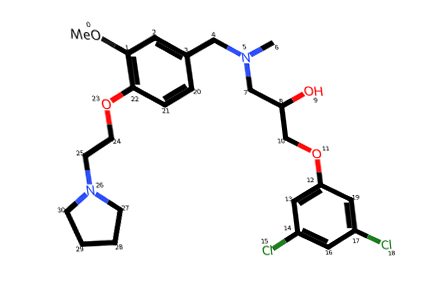 COc1cc(CN(C)CC(O)COc2cc(Cl)cc(Cl)c2)ccc1OCCN1CCCC1